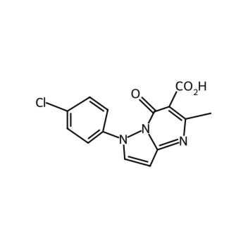 Cc1nc2ccn(-c3ccc(Cl)cc3)n2c(=O)c1C(=O)O